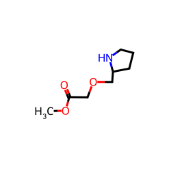 COC(=O)COCC1CCCN1